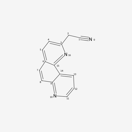 N#CCc1ccc2ccc3ncccc3c2n1